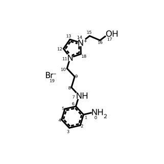 Nc1ccccc1NCCCn1cc[n+](CCO)c1.[Br-]